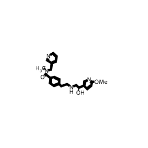 COc1ccc([C@@H](O)CNCCc2ccc(C(=O)N(C)Cc3cccnc3)cc2)cn1